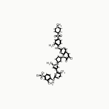 CCS(=O)(=O)c1ccc(Nc2ncc(C(F)(F)F)c(-c3cn(C)[n+](C4CCC(n5c(=O)c(Cl)cc6cnc(Nc7ccc(S(=O)(=O)C8CCN(C)CC8)cc7C)nc65)C4)c3)n2)c(C)c1